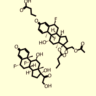 CCCC(=O)O.CCCC(=O)O[C@]1(C(=O)COC(C)=O)CC[C@H]2[C@@H]3C[C@H](F)C4=CC(=O)C=C[C@]4(C)[C@@]3(F)[C@@H](O)C[C@@]21C.C[C@]12C=CC(=O)C=C1[C@@H](F)C[C@H]1[C@@H]3CC[C@](O)(C(=O)CO)[C@@]3(C)C[C@H](O)[C@@]12F